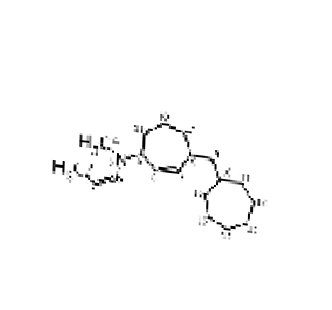 C/C=C\N(C)C1C=CC(CC2CCCCCC2)CCC1